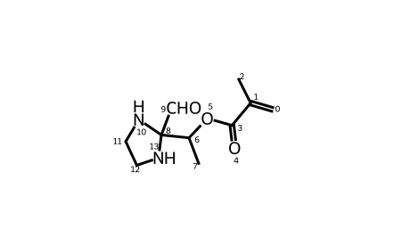 C=C(C)C(=O)OC(C)C1(C=O)NCCN1